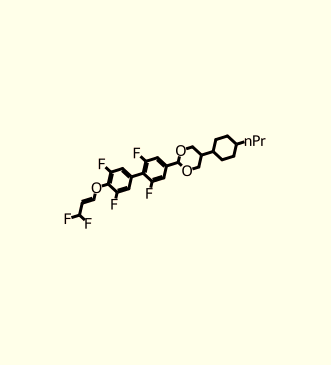 CCCC1CCC(C2COC(c3cc(F)c(-c4cc(F)c(O/C=C/C(F)F)c(F)c4)c(F)c3)OC2)CC1